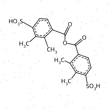 Cc1c(C(=O)OC(=O)c2ccc(S(=O)(=O)O)c(C)c2C)ccc(S(=O)(=O)O)c1C